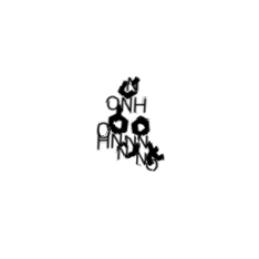 CCC1(C)CN(c2ccccc2)c2nc(Nc3ccc(C(=O)N[C@@H]4CCN(C)C4)cc3OC)ncc2N(C)C1=O